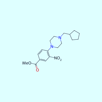 COC(=O)c1ccc(N2CCN(CC3CCCC3)CC2)c([N+](=O)[O-])c1